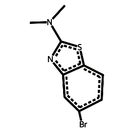 CN(C)c1nc2cc(Br)ccc2s1